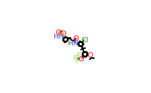 CC(C)Oc1cc(OC(F)(F)F)cc(C(C)(C)c2cc(Cl)cc(NC(=O)c3cc4cc(NS(C)(=O)=O)ccc4s3)c2)c1